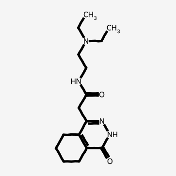 CCN(CC)CCNC(=O)Cc1n[nH]c(=O)c2c1CCCC2